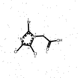 O=C(O)Cn1c(Br)nc(Cl)c1Cl